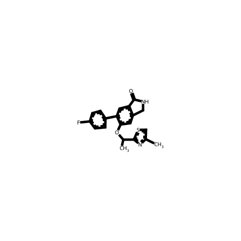 Cc1csc(C(C)Oc2cc3c(cc2-c2ccc(F)cc2)C(=O)NC3)n1